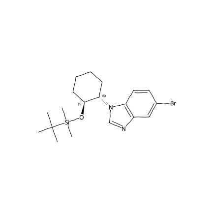 CC(C)(C)[Si](C)(C)O[C@H]1CCCC[C@@H]1n1cnc2cc(Br)ccc21